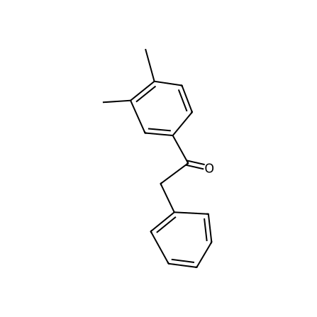 Cc1ccc(C(=O)Cc2ccccc2)cc1C